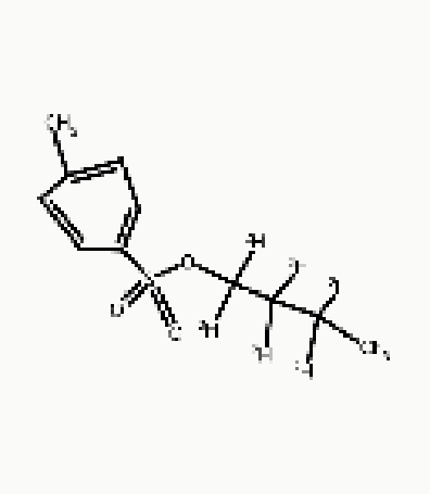 [2H]C([2H])(OS(=O)(=O)c1ccc(C)cc1)C([2H])([2H])C([2H])([2H])C(F)(F)F